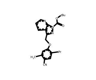 Cc1cc(OCc2nn(C(=O)OC(C)(C)C)c3ncccc23)c(C(C)C)cc1C#N